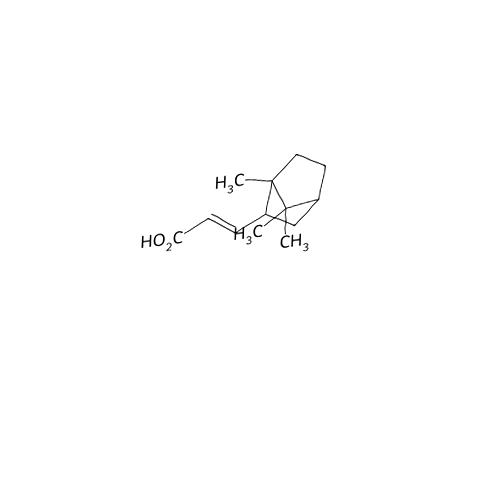 CC1(C)C2CCC1(C)C(C=CC(=O)O)C2